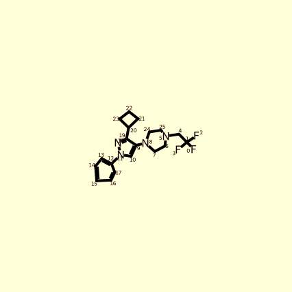 FC(F)(F)CN1CCN(c2cn(-c3ccccc3)nc2C2CCC2)CC1